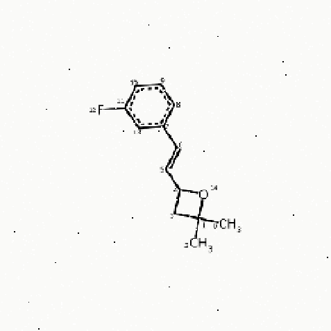 CC1(C)CC(C=Cc2cccc(F)c2)O1